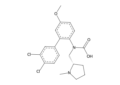 COc1ccc(N(C[C@@H]2CCCN2C)C(=O)O)c(-c2ccc(Cl)c(Cl)c2)c1